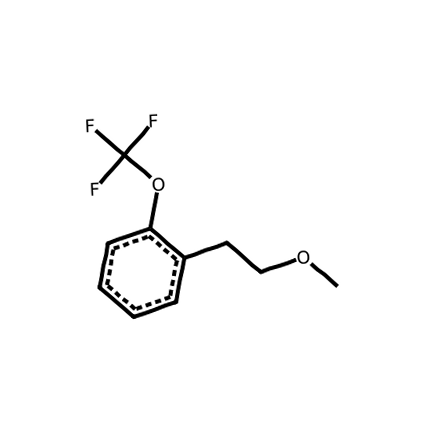 COCCc1ccccc1OC(F)(F)F